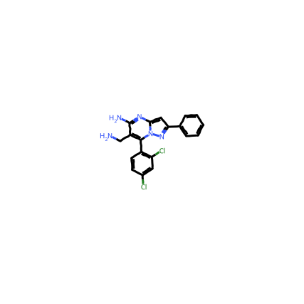 NCc1c(N)nc2cc(-c3ccccc3)nn2c1-c1ccc(Cl)cc1Cl